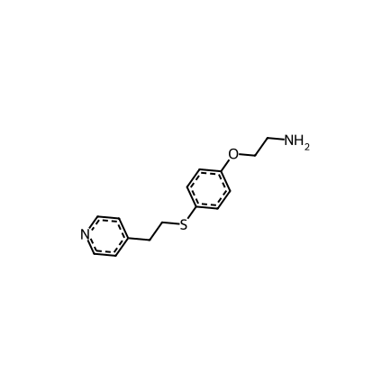 NCCOc1ccc(SCCc2ccncc2)cc1